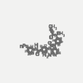 CC#CC(=O)N(C)c1cccc(-n2c(=O)n(-c3ccc(C(=O)Nc4cc(CCC)ccn4)cc3)c3c(N)ncnc32)c1